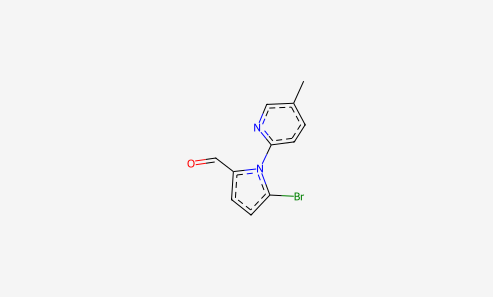 Cc1ccc(-n2c(Br)ccc2C=O)nc1